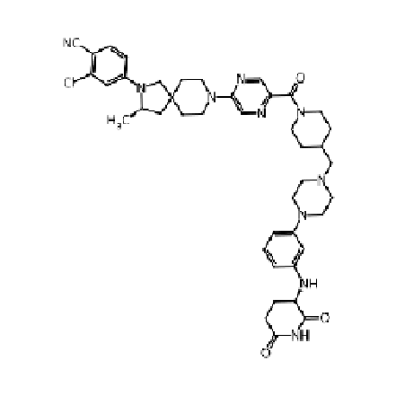 C[C@@H]1CC2(CCN(c3cnc(C(=O)N4CCC(CN5CCN(c6cccc(N[C@@H]7CCC(=O)NC7=O)c6)CC5)CC4)cn3)CC2)CN1c1ccc(C#N)c(Cl)c1